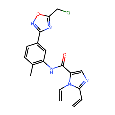 C=Cc1ncc(C(=O)Nc2cc(-c3noc(CCl)n3)ccc2C)n1C=C